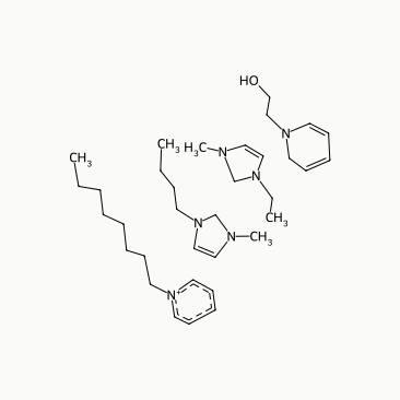 CCCCCCCC[n+]1ccccc1.CCCCN1C=CN(C)C1.CCN1C=CN(C)C1.OCCN1C=CC=CC1